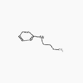 C[CH]CCNc1ccccc1